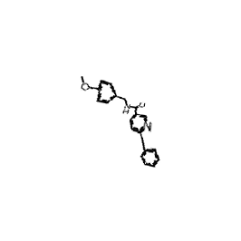 COc1ccc(CNC(=O)c2ccc(-c3ccccc3)nc2)cc1